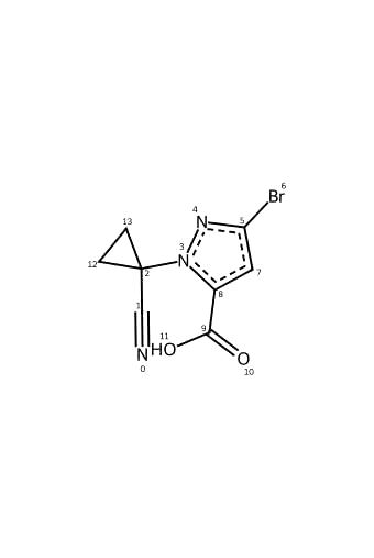 N#CC1(n2nc(Br)cc2C(=O)O)CC1